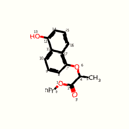 CCCOC(=O)C(C)Oc1cccc2c(O)cccc12